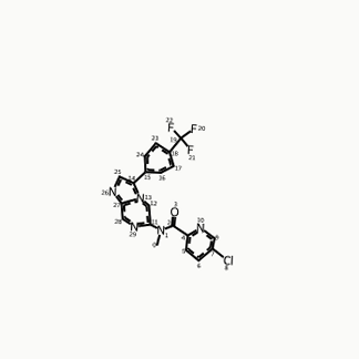 CN(C(=O)c1ccc(Cl)cn1)c1cn2c(-c3ccc(C(F)(F)F)cc3)cnc2cn1